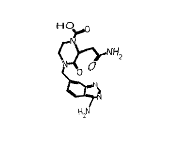 NC(=O)CC1C(=O)N(Cc2ccc3c(N)ncnc3c2)CCN1C(=O)O